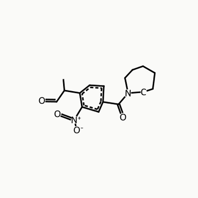 CC(C=O)c1ccc(C(=O)N2CCCCCC2)cc1[N+](=O)[O-]